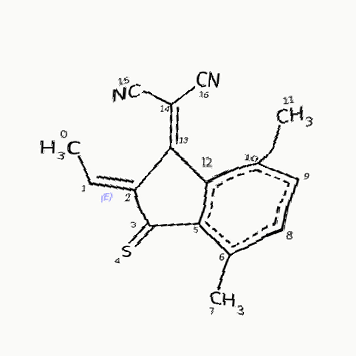 C/C=C1/C(=S)c2c(C)ccc(C)c2C1=C(C#N)C#N